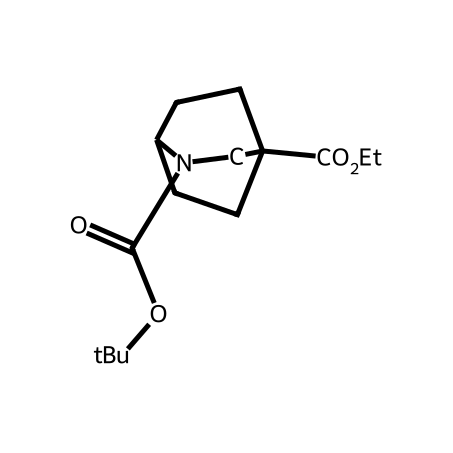 CCOC(=O)C12CCC(CC1)N(C(=O)OC(C)(C)C)C2